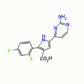 Nc1nccc(-c2cc(C(=O)O)c(-c3ccc(F)cc3F)[nH]2)n1